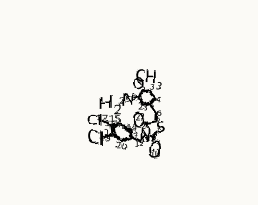 COc1ccc(C=C2SC(=O)N(Cc3ccc(Cl)c(Cl)c3)C2=O)cc1N